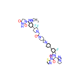 Cn1nc(N2CCC(=O)NC2=O)c2ccc(C3CCN(CC(=O)N4CCC5(CC4)CN(c4ccc(-c6cc(F)c7c(c6)C(=O)N(C(C(=O)Nc6nccs6)c6ncn8c6CCC8)C7)cc4)C5)CC3(F)F)cc21